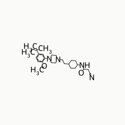 COc1ccc(C(C)(C)C)cc1N1CCN(CCC2CCC(NC(=O)CC#N)CC2)CC1